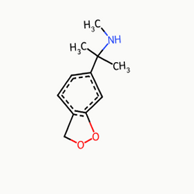 CNC(C)(C)c1ccc2c(c1)OOC2